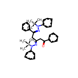 C[Si](C)(C)N(N=C(CC(=O)c1ccccc1)CC(=NN(c1ccccc1)[Si](C)(C)C)c1ccccc1)c1ccccc1